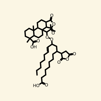 CCCCCC/C=C/C(CC(CCCCCCCC(=O)O)C1CC(=O)OC1=O)OOC(C(C)C)C12CCC3C(C)(C(=O)O)CCCC3(C)C1CCC1C(=O)OC(=O)C12